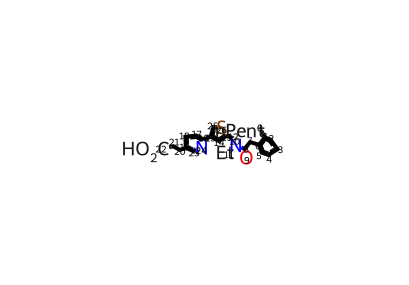 CCCCCc1ccccc1CC(=O)N(CC)Cc1cc(-c2ccc(CCC(=O)O)cn2)cs1